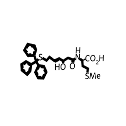 CSCC[C@@H](NC(=O)CC(O)C=CCCSC(c1ccccc1)(c1ccccc1)c1ccccc1)C(=O)O